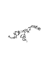 COc1cnc2c(-c3ccc(C)nc3)c(-c3ccnc(NC(C)=O)c3)[nH]c2c1